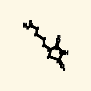 NCCCCC1CC(=O)NC1=O